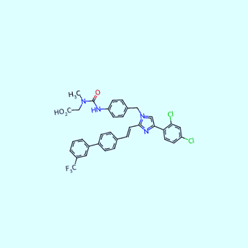 CN(CC(=O)O)C(=O)Nc1ccc(Cn2cc(-c3ccc(Cl)cc3Cl)nc2C=Cc2ccc(-c3cccc(C(F)(F)F)c3)cc2)cc1